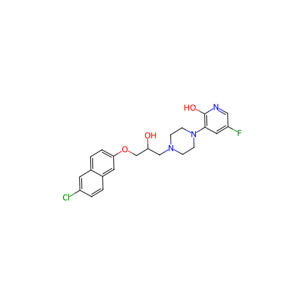 Oc1ncc(F)cc1N1CCN(CC(O)COc2ccc3cc(Cl)ccc3c2)CC1